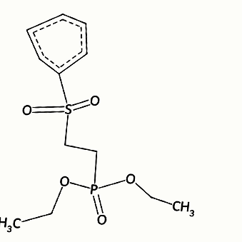 CCOP(=O)(CCS(=O)(=O)c1ccccc1)OCC